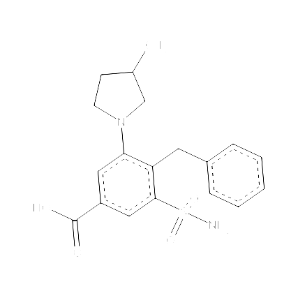 CC1CCN(c2cc(C(=O)O)cc(S(N)(=O)=O)c2Cc2ccccc2)C1